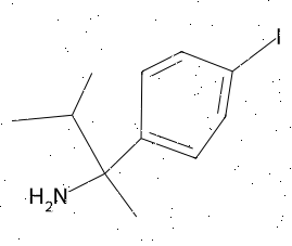 CC(C)C(C)(N)c1ccc(I)cc1